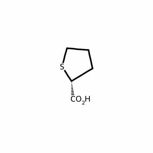 O=C(O)[C@H]1CCCS1